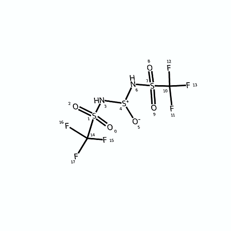 O=S(=O)(N[S+]([O-])NS(=O)(=O)C(F)(F)F)C(F)(F)F